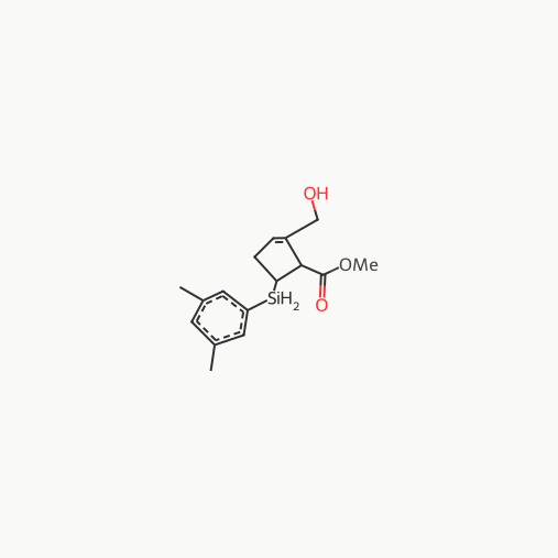 COC(=O)C1C(CO)=CCC1[SiH2]c1cc(C)cc(C)c1